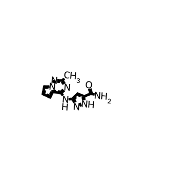 Cc1nc(Nc2cc(C(N)=O)[nH]n2)c2cccn2n1